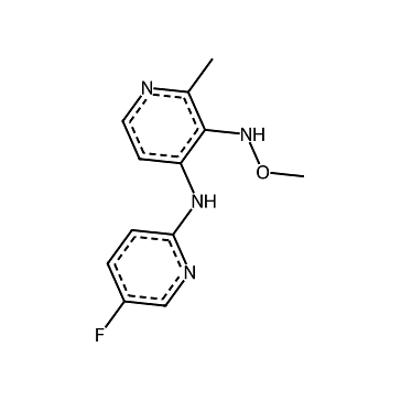 CONc1c(Nc2ccc(F)cn2)ccnc1C